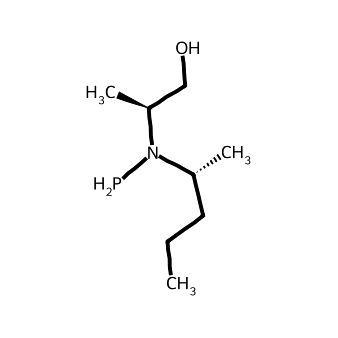 CCC[C@@H](C)N(P)[C@@H](C)CO